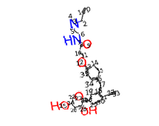 C#CCN(C)CCNC(=O)CCOc1ccc(Cc2cc([C@@H]3OCC(O)CC3O)ccc2C#C)cc1